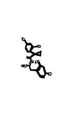 O=C(O)[C@H](Cc1ccc(Cl)cc1Cl)NC(=O)C1(c2ccc(Cl)cc2Cl)CC1